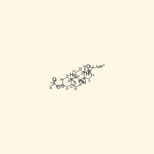 C#CC1O[C@]12CC[C@H]1[C@@H]3CC=C4C[C@@H](OC(C)=O)CC[C@]4(C)[C@H]3CC[C@@]12C